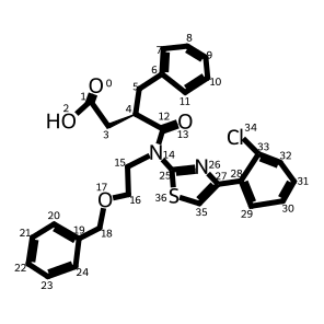 O=C(O)C[C@@H](Cc1ccccc1)C(=O)N(CCOCc1ccccc1)c1nc(-c2ccccc2Cl)cs1